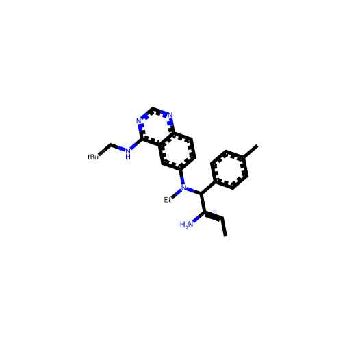 C/C=C(\N)C(c1ccc(C)cc1)N(CC)c1ccc2ncnc(NCC(C)(C)C)c2c1